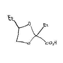 CCC1COC(CC)(C(=O)O)O1